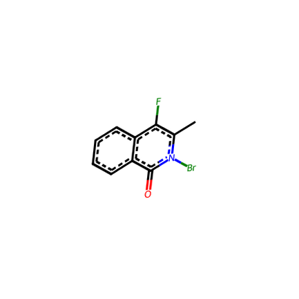 Cc1c(F)c2ccccc2c(=O)n1Br